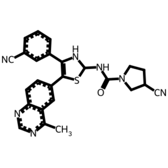 Cc1ncnc2ccc(C3=C(c4cccc(C#N)c4)NC(NC(=O)N4CCC(C#N)C4)S3)cc12